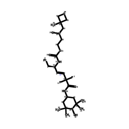 CC(C)C[C@H](/C=C/C(F)(F)C(=O)NC1CC(C)(C)N(O)C(C)(C)C1)NC(=O)OCC[S+]([O-])CC1(C)COC1